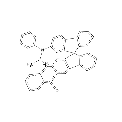 CC(C)N(c1ccccc1)c1ccc2c(c1)C1(c3ccccc3-2)c2ccccc2-c2cc3c(=O)c4ccccc4sc3cc21